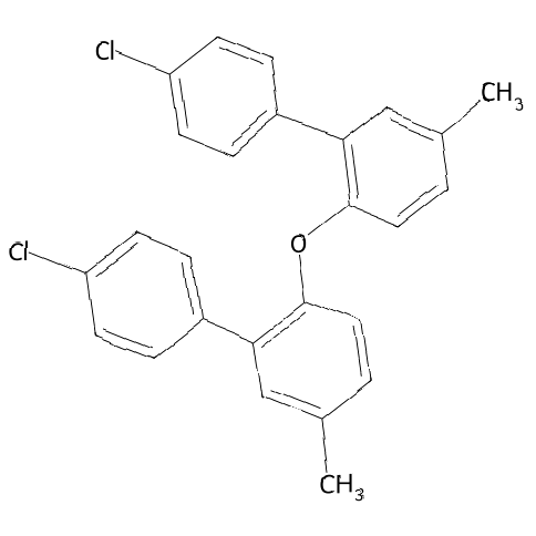 Cc1ccc(Oc2ccc(C)cc2-c2ccc(Cl)cc2)c(-c2ccc(Cl)cc2)c1